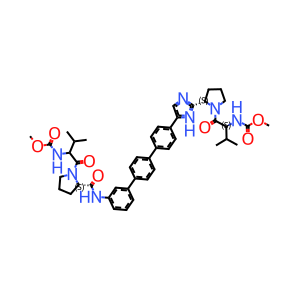 COC(=O)NC(C(=O)N1CCC[C@H]1C(=O)Nc1cccc(-c2ccc(-c3ccc(-c4cnc([C@@H]5CCCN5C(=O)[C@@H](NC(=O)OC)C(C)C)[nH]4)cc3)cc2)c1)C(C)C